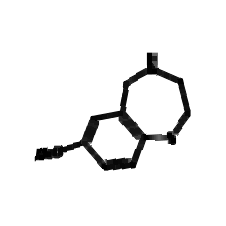 COc1ccc2c(c1)CNCCS2